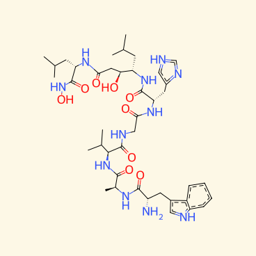 CC(C)C[C@H](NC(=O)C[C@H](O)[C@H](CC(C)C)NC(=O)[C@H](Cc1c[nH]cn1)NC(=O)CNC(=O)[C@@H](NC(=O)[C@H](C)NC(=O)[C@@H](N)Cc1c[nH]c2ccccc12)C(C)C)C(=O)NO